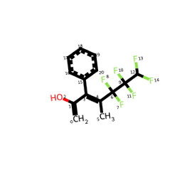 C=C(O)/C(=C(\C)C(F)(F)C(F)(F)C(F)F)c1ccccc1